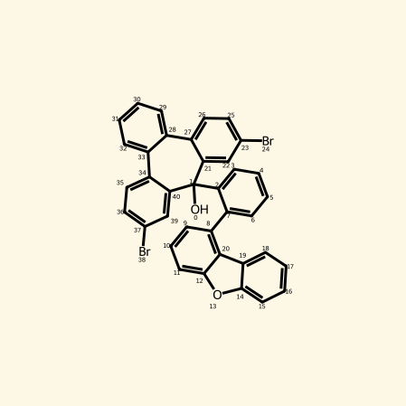 OC1(c2ccccc2-c2cccc3oc4ccccc4c23)c2cc(Br)ccc2-c2ccccc2-c2ccc(Br)cc21